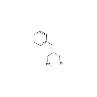 CC(C)CC(=Cc1ccccc1)CN